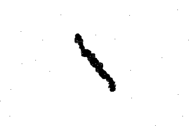 C=CC(=O)OCCCCSc1ccc(C(=O)Oc2ccc(C(=O)Oc3ccc(CCCCCCCCC)cc3)cc2)cc1